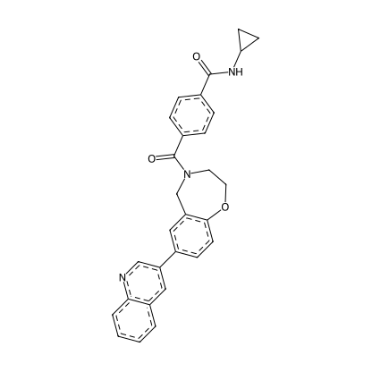 O=C(NC1CC1)c1ccc(C(=O)N2CCOc3ccc(-c4cnc5ccccc5c4)cc3C2)cc1